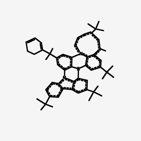 Cc1cc(C(C)(C)C)cccn2c3c(cc(C(C)(C)C)cc13)B1c3c-2cc(C(C)(C)C2=CC=CCC2)cc3-n2c3ccc(C(C)(C)C)cc3c3cc(C(C)(C)C)cc1c32